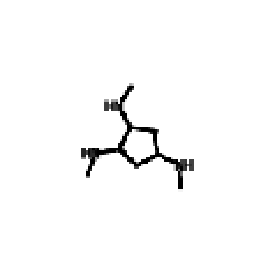 CNC1[CH]C(NC)C(NC)C1